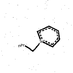 [CH2]CCC[si]1ccccc1